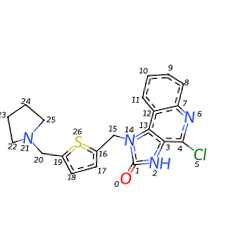 O=c1[nH]c2c(Cl)nc3ccccc3c2n1Cc1ccc(CN2CCCC2)s1